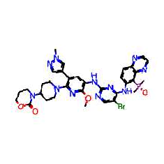 COc1nc(N2CCC(N3CCCOC3=O)CC2)c(-c2cnn(C)c2)cc1Nc1ncc(Br)c(Nc2ccc3nccnc3c2P(C)(C)=O)n1